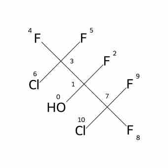 OC(F)(C(F)(F)Cl)C(F)(F)Cl